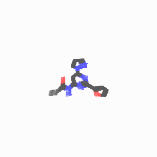 CC(C)(C)C(=O)Nc1cc(-n2cccn2)nc(-c2ccco2)n1